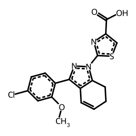 COc1cc(Cl)ccc1-c1nn(-c2nc(C(=O)O)cs2)c2c1C=CCC2